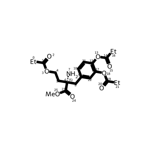 CCC(=O)OCC[C@@](N)(Cc1ccc(OC(=O)CC)c(OC(=O)CC)c1)C(=O)OC